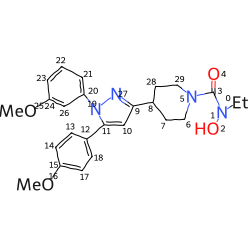 CCN(O)C(=O)N1CCC(c2cc(-c3ccc(OC)cc3)n(-c3cccc(OC)c3)n2)CC1